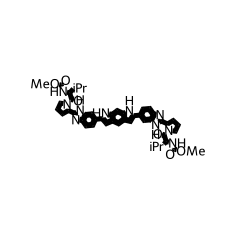 COC(=O)NC(C(=O)N1CCCC1c1nc2ccc(-c3cc4cc5cc(-c6ccc7nc(C8CCCN8C(=O)C(NC(=O)OC)C(C)C)[nH]c7c6)[nH]c5cc4[nH]3)cc2[nH]1)C(C)C